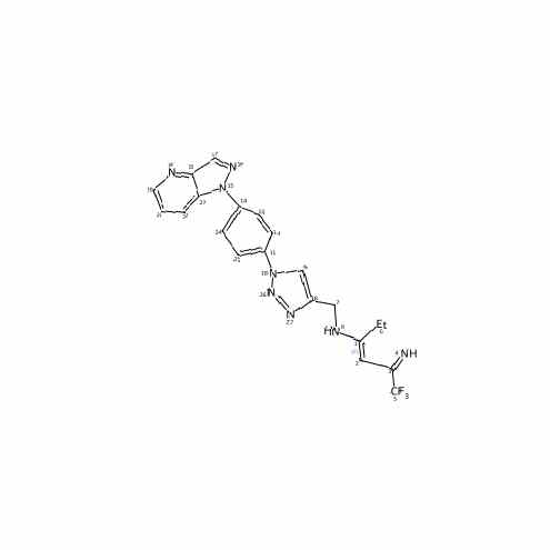 CC/C(=C\C(=N)C(F)(F)F)NCc1cn(-c2ccc(-n3ncc4ncccc43)cc2)nn1